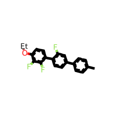 CCOc1ccc(-c2ccc(-c3ccc(C)cc3)cc2F)c(F)c1F